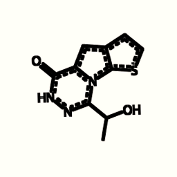 CC(O)c1n[nH]c(=O)c2cc3ccsc3n12